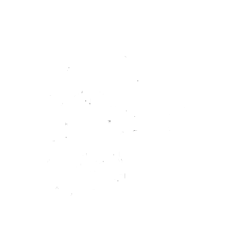 Cc1cc(I)c2ccc3c(C)cc(N(c4ccccc4)c4cc5c6c(ccc7cccc(c76)C5(C)C)c4)c4ccc1c2c34